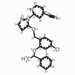 CC(Oc1cc(Cl)ccc1COc1ccnn1-c1cc(C#N)ccn1)c1ccccc1